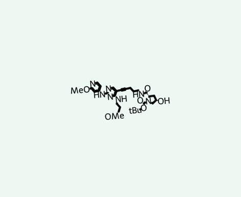 COCCCNc1nc(Nc2ccnc(OC)c2)ncc1C#CCCCNC(=O)[C@@H]1C[C@H](O)CN1C(=O)OC(C)(C)C